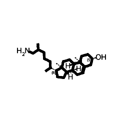 CC(CN)CCCC(C)[C@H]1CC[C@H]2[C@@H]3CC=C4C[C@@H](O)CC[C@]4(C)[C@H]3CC[C@]12C